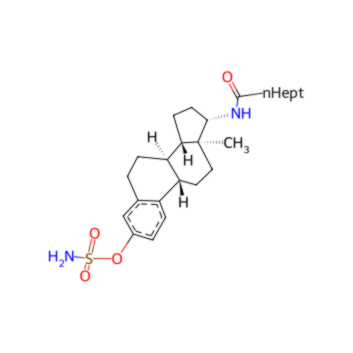 CCCCCCCC(=O)N[C@H]1CC[C@H]2[C@@H]3CCc4cc(OS(N)(=O)=O)ccc4[C@H]3CC[C@]12C